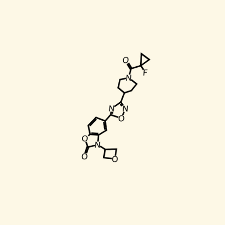 O=C(N1CCC(c2noc(-c3ccc4oc(=O)n(C5COC5)c4c3)n2)CC1)C1(F)CC1